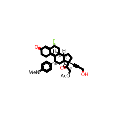 CNc1ccc([C@H]2C[C@@]3(C)[C@@H](CC[C@]3(C#CCO)C(=O)COC(C)=O)[C@@H]3CC(F)C4=CC(=O)CCC4=C32)cc1